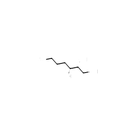 CC(=O)CCC[C@H](O)[C@H](O)CO